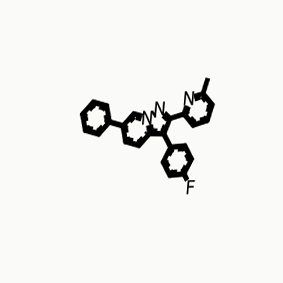 Cc1cccc(-c2nn3cc(-c4ccccc4)ccc3c2-c2ccc(F)cc2)n1